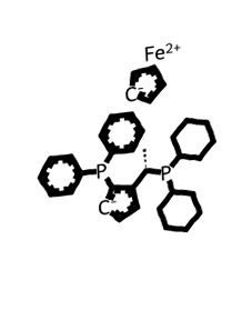 C[C@@H](c1cc[cH-]c1P(c1ccccc1)c1ccccc1)P(C1CCCCC1)C1CCCCC1.[Fe+2].c1cc[cH-]c1